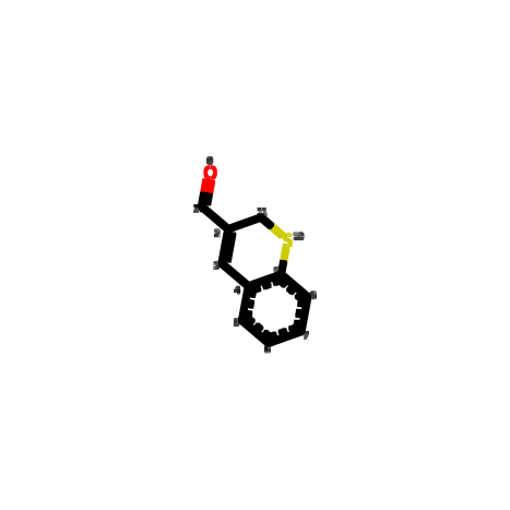 O=[C]C1=Cc2ccccc2SC1